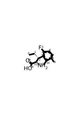 CC[C@H](c1c(F)ccc(C)c1C)[C@H](N)C(=O)O